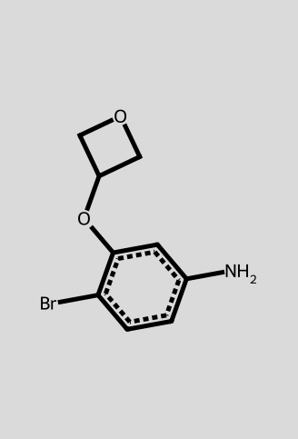 Nc1ccc(Br)c(OC2COC2)c1